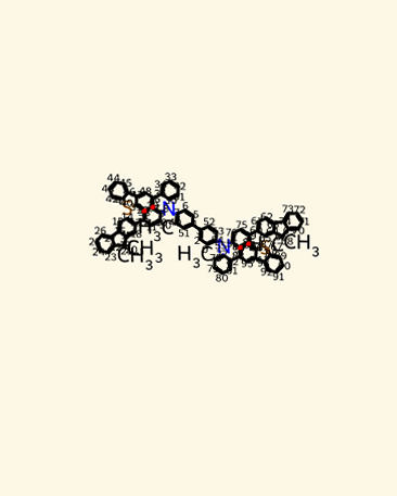 Cc1cc(-c2ccc(N(c3ccc(-c4ccc5c(c4)C(C)(C)c4ccccc4-5)cc3)c3ccccc3-c3ccc4sc5ccccc5c4c3)c(C)c2)ccc1N(c1ccc(-c2ccc3c(c2)C(C)(C)c2ccccc2-3)cc1)c1ccccc1-c1ccc2sc3ccccc3c2c1